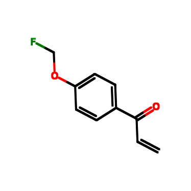 C=CC(=O)c1ccc(OCF)cc1